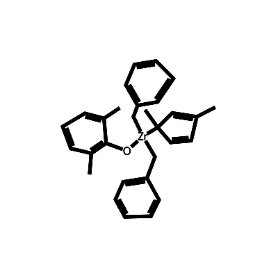 CC1=C[C](C)([Zr]([CH2]c2ccccc2)([CH2]c2ccccc2)[O]c2c(C)cccc2C)C=C1